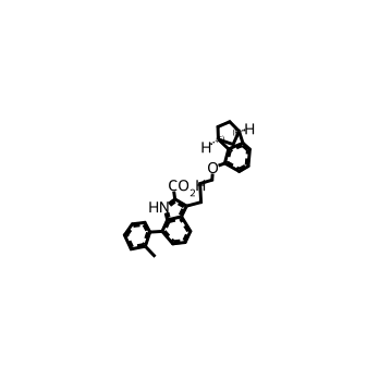 Cc1ccccc1-c1cccc2c(CCCOc3cccc4c3[C@H]3CC[C@@H]4C3)c(C(=O)O)[nH]c12